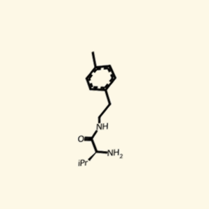 Cc1ccc(CCNC(=O)[C@@H](N)C(C)C)cc1